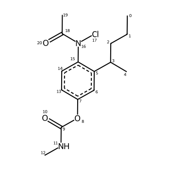 CCCC(C)c1cc(OC(=O)NC)ccc1N(Cl)C(C)=O